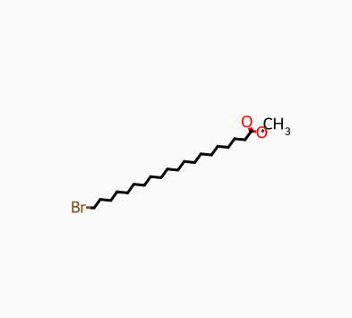 COC(=O)CCCCCCCCCCCCCCCCCCCBr